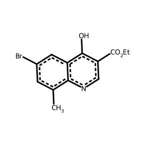 CCOC(=O)c1cnc2c(C)cc(Br)cc2c1O